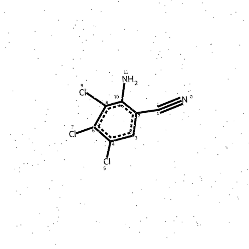 N#Cc1cc(Cl)c(Cl)c(Cl)c1N